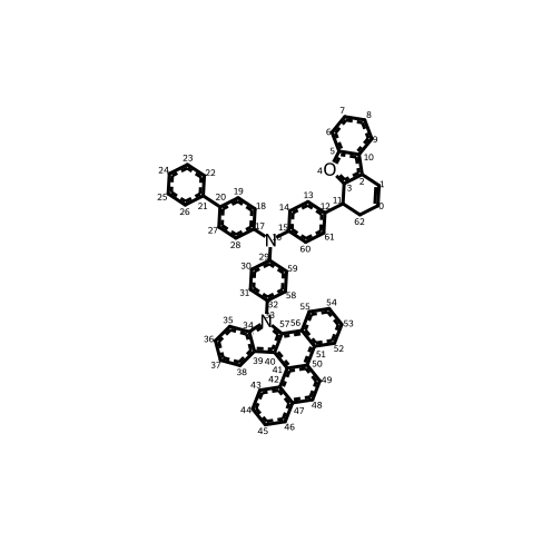 C1=Cc2c(oc3ccccc23)C(c2ccc(N(c3ccc(-c4ccccc4)cc3)c3ccc(-n4c5ccccc5c5c6c7ccccc7ccc6c6ccccc6c54)cc3)cc2)C1